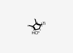 CC1=CC[C]([Ti])=C1C.Cl